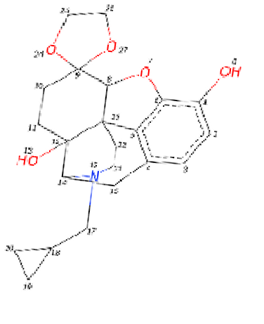 Oc1ccc2c3c1OC1C4(CCC5(O)C(C2)N(CC2CC2)CCC315)OCCO4